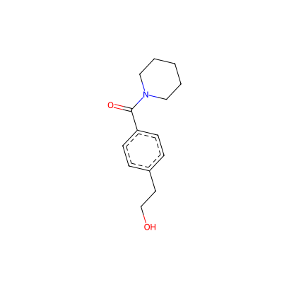 O=C(c1ccc(CCO)cc1)N1CCCCC1